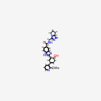 COc1ncccc1C1=CCC(O)C(c2nc3cc(C(=O)NCc4nnc5n4CCC5)ccc3[nH]2)=C1